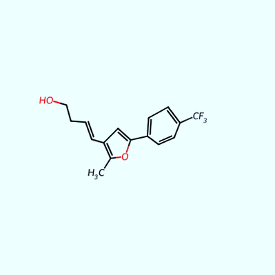 Cc1oc(-c2ccc(C(F)(F)F)cc2)cc1C=CCCO